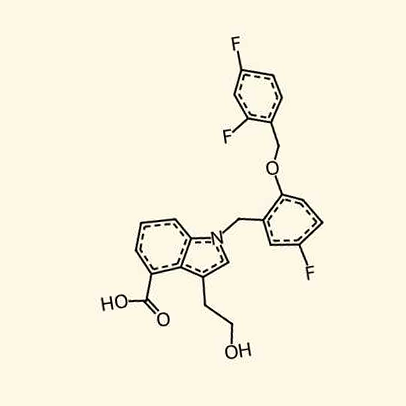 O=C(O)c1cccc2c1c(CCO)cn2Cc1cc(F)ccc1OCc1ccc(F)cc1F